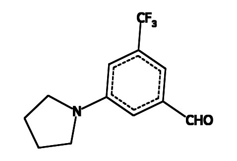 O=Cc1cc(N2CCCC2)cc(C(F)(F)F)c1